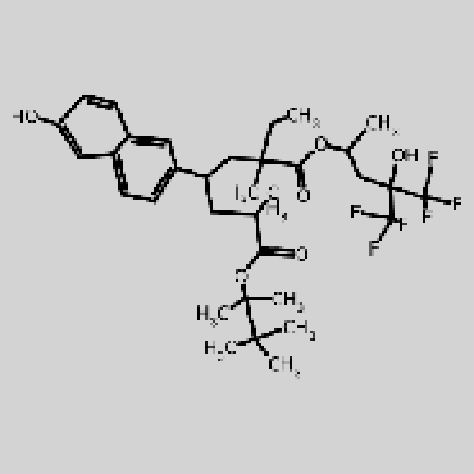 CCC(C)(CC(CC(C)C(=O)OC(C)(C)C(C)(C)C)c1ccc2cc(O)ccc2c1)C(=O)OC(C)CC(O)(C(F)(F)F)C(F)(F)F